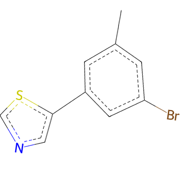 Cc1cc(Br)cc(-c2cncs2)c1